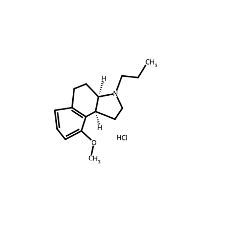 CCCN1CC[C@H]2c3c(cccc3OC)CC[C@H]21.Cl